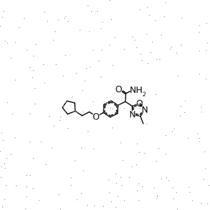 Cc1noc(C(C(N)=O)c2ccc(OCCC3CCCC3)cc2)n1